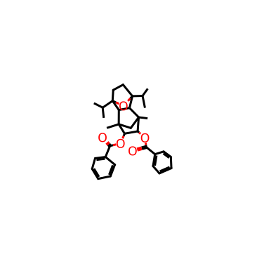 CC(C)C12CCC(C(C)C)(O1)C1C2C2(C)CC1(C)C(OC(=O)c1ccccc1)C2OC(=O)c1ccccc1